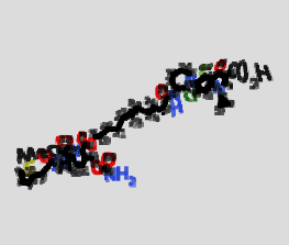 CO[C@@]1(NC(=O)Cc2cccs2)C(=O)N2C(C(=O)OCCCCCCCCCCC(=O)N[C@H]3CCCCN(c4c(Cl)cc5c(c4F)c(=O)c(C(=O)O)cn5C4CC4)C3)=C(COC(N)=O)CC[C@@H]21